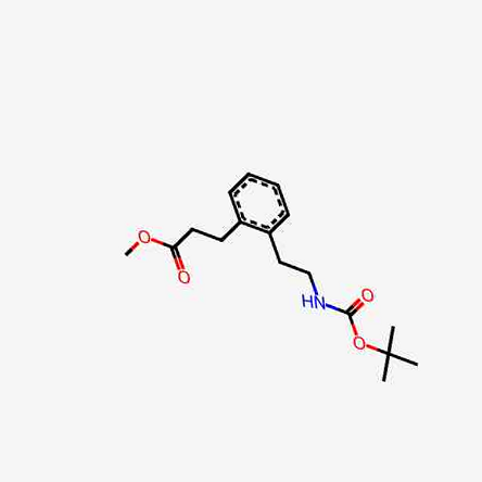 COC(=O)CCc1ccccc1CCNC(=O)OC(C)(C)C